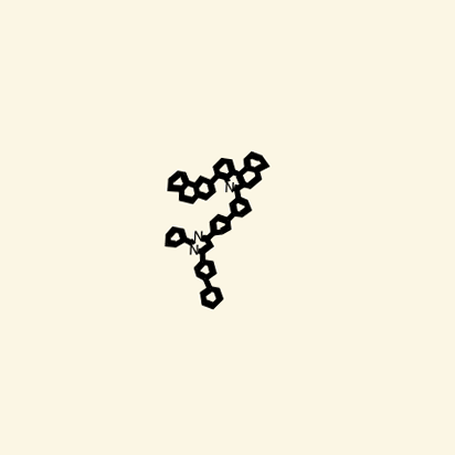 c1ccc(-c2ccc(-c3cc(-c4ccc(-c5cccc(-c6nc7c(-c8ccc9ccc%10ccccc%10c9c8)cccc7c7c6ccc6ccccc67)c5)cc4)nc(-c4ccccc4)n3)cc2)cc1